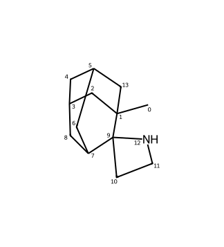 CC12CC3CC(CC(C3)C13CCN3)C2